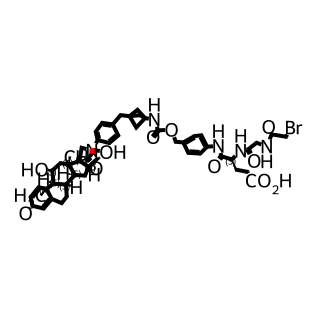 C[C@]12C=CC(=O)C=C1CC[C@@H]1[C@@H]2[C@@H](O)C[C@@]2(C)[C@H]1C[C@H]1CN(c3ccc(CC45CC(NC(=O)OCc6ccc(NC(=O)[C@H](CCC(=O)O)NC(=O)CNC(=O)CBr)cc6)(C4)C5)cc3)C[C@]12C(=O)CO